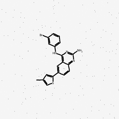 Cc1csc(-c2ccc3nc(N)nc(Nc4cccc(Br)c4)c3c2)c1